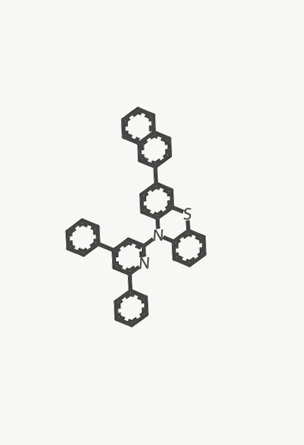 c1ccc(-c2cc(-c3ccccc3)nc(N3c4ccccc4Sc4cc(-c5ccc6ccccc6c5)ccc43)c2)cc1